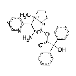 C[N+]1(C(C(N)=O)c2ccncn2)CCC[C@@H]1COC(=O)C(O)(c1ccccc1)c1ccccc1